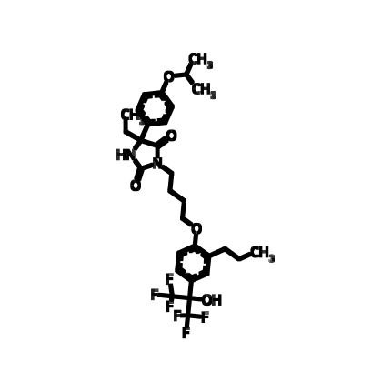 CCCc1cc(C(O)(C(F)(F)F)C(F)(F)F)ccc1OCCCCN1C(=O)NC(CC)(c2ccc(OC(C)C)cc2)C1=O